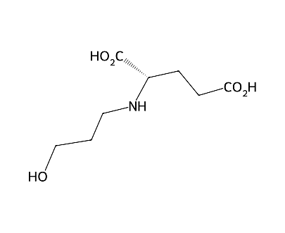 O=C(O)CC[C@H](NCCCO)C(=O)O